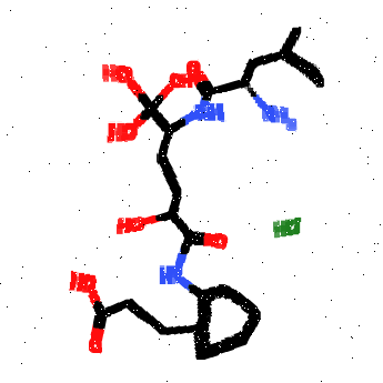 CC(C)C[C@H](N)C(=O)NC(CCC(O)C(=O)Nc1ccccc1CCC(=O)O)C(O)(O)O.Cl